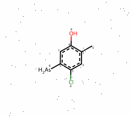 Cc1cc(Cl)c([AsH2])cc1O